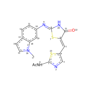 CC(=O)Nc1ncc(C=C2SC(=Nc3ccc4ccn(C)c4c3)NC2=O)s1